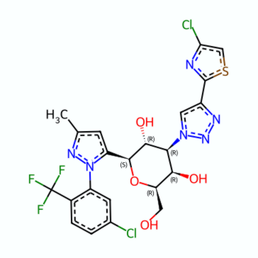 Cc1cc([C@@H]2O[C@H](CO)[C@H](O)[C@H](n3cc(-c4nc(Cl)cs4)nn3)[C@H]2O)n(-c2cc(Cl)ccc2C(F)(F)F)n1